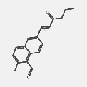 CCCC(=O)/C=C/c1ccc2c(C=O)c(C)ccc2c1